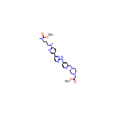 CN(CCCN(C)c1ccc(-c2ccnc(Nc3ccnc(CN4CCN(CC(=O)OC(C)(C)C)CC4)c3)n2)cn1)C(=O)OC(C)(C)C